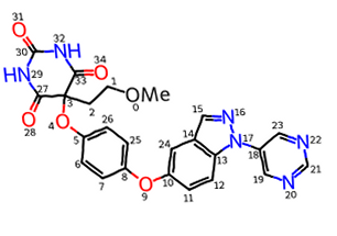 COCCC1(Oc2ccc(Oc3ccc4c(cnn4-c4cncnc4)c3)cc2)C(=O)NC(=O)NC1=O